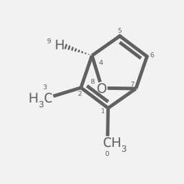 CC1=C(C)[C@H]2C=CC1O2